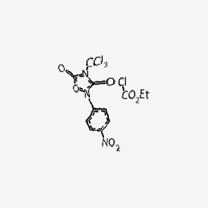 CCOC(=O)Cl.O=c1on(-c2ccc([N+](=O)[O-])cc2)c(=O)n1C(Cl)(Cl)Cl